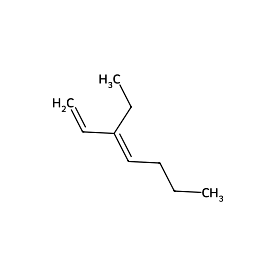 C=C/C(=C/CCC)CC